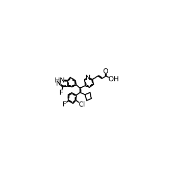 O=C(O)C=Cc1ccc(C(=C(c2ccc(F)cc2Cl)C2CCC2)c2ccc3[nH]nc(F)c3c2)cn1